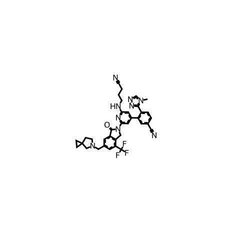 Cn1cnnc1-c1ccc(C#N)cc1-c1cc(NCCCC#N)nc(N2Cc3c(cc(CN4CCC5(CC5)C4)cc3C(F)(F)F)C2=O)c1